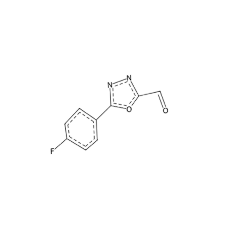 O=Cc1nnc(-c2ccc(F)cc2)o1